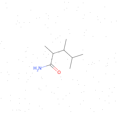 CC(C)C(C)C(C)C(N)=O